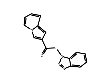 O=C(On1nnc2ccccc21)c1cc2ccccn2c1